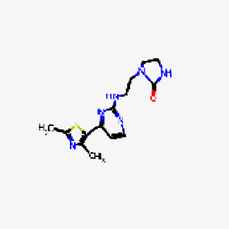 Cc1nc(C)c(-c2ccnc(NCCN3CCNC3=O)n2)s1